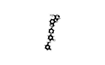 Nc1ncnc2sc3c(c12)CCc1nn(C2CCN(c4ccc(OCc5cccc(F)c5)c(Cl)c4)CC2)cc1-3